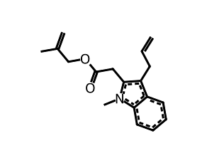 C=CCc1c(CC(=O)OCC(=C)C)n(C)c2ccccc12